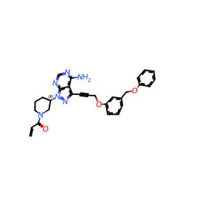 C=CC(=O)N1CCC[C@@H](n2nc(C#CCOc3cccc(COc4ccccc4)c3)c3c(N)ncnc32)C1